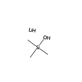 C[Si](C)(C)O.[LiH]